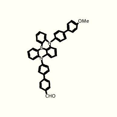 COc1ccc(-c2ccc(N3c4ccccc4B4c5ccccc5N(c5ccc(-c6ccc(C=O)cc6)cc5)c5cccc3c54)cc2)cc1